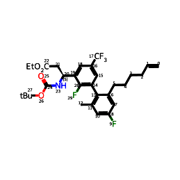 C=CCCCCc1cc(F)cc(C)c1-c1cc(C(F)(F)F)cc([C@H](CC(=O)OCC)NC(=O)OC(C)(C)C)c1F